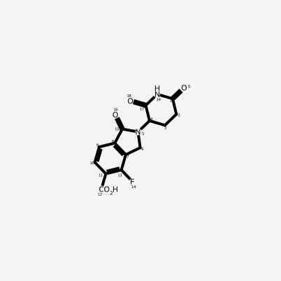 O=C1CCC(N2Cc3c(ccc(C(=O)O)c3F)C2=O)C(=O)N1